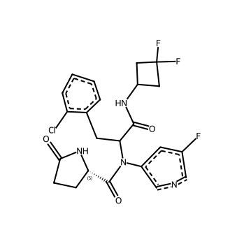 O=C1CC[C@@H](C(=O)N(c2cncc(F)c2)C(Cc2ccccc2Cl)C(=O)NC2CC(F)(F)C2)N1